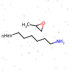 CC1CO1.CCCCCCCCCCCCN